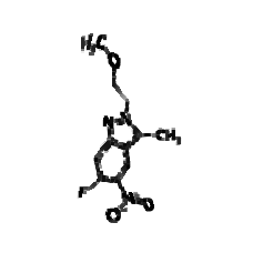 COCCn1nc2cc(F)c([N+](=O)[O-])cc2c1C